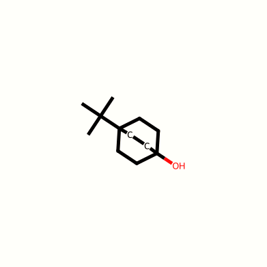 CC(C)(C)C12CCC(O)(CC1)CC2